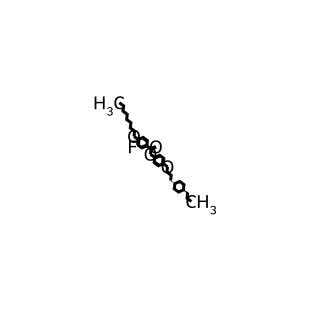 CCCCCCCCOc1ccc(C(=O)Oc2ccc(OCCC[C@H]3CC[C@H](CCC)CC3)cc2)cc1F